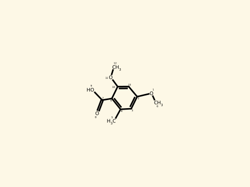 COc1cc(C)c(C(=O)O)c(OC)c1